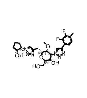 CO[C@@H]1[C@@H](n2cc(-c3ccc(C)c(F)c3F)nn2)[C@@H](O)[C@@H](CO)O[C@@H]1Cc1cn([C@H]2CCC[C@@H]2O)nn1